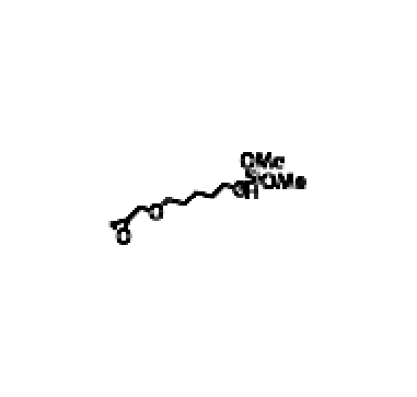 CO[SiH](OC)OCCCCCOCC1CO1